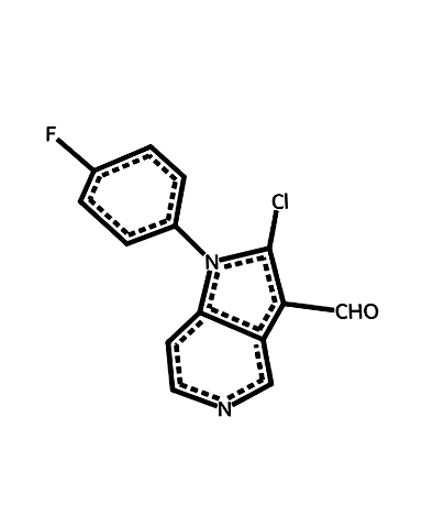 O=Cc1c(Cl)n(-c2ccc(F)cc2)c2ccncc12